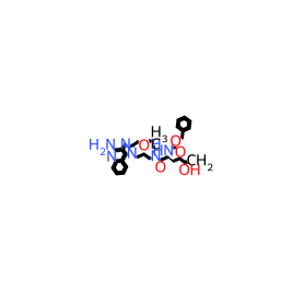 C=C(O)CC[C@H](NC(=O)OCc1ccccc1)C(=O)NCCCn1c(COCC)nc2c(N)nc3ccccc3c21